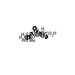 CC[C@H](C)[C@@H]1N=C(N2CC[C@H]2C(=O)N(C)[C@@H](CC2CCCCC2)C(=O)N(C)CC(=O)N[C@@H](CC(=O)O)C(=O)N2CCCC2)[C@H](C)N(C)C1O